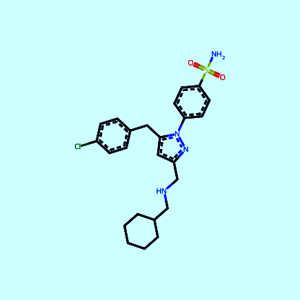 NS(=O)(=O)c1ccc(-n2nc(CNCC3CCCCC3)cc2Cc2ccc(Cl)cc2)cc1